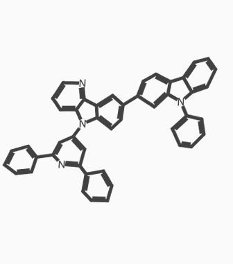 c1ccc(-c2cc(-n3c4ccc(-c5ccc6c7ccccc7n(-c7ccccc7)c6c5)cc4c4ncccc43)cc(-c3ccccc3)n2)cc1